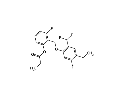 CCC(=O)Oc1cccc(F)c1COc1cc(F)c(CC)cc1C(F)F